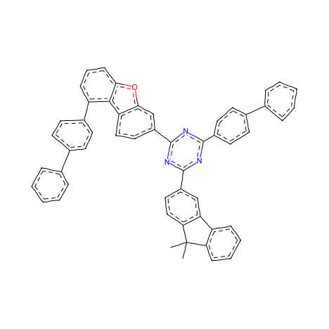 CC1(C)c2ccccc2-c2cc(-c3nc(-c4ccc(-c5ccccc5)cc4)nc(-c4ccc5c(c4)oc4cccc(-c6ccc(-c7ccccc7)cc6)c45)n3)ccc21